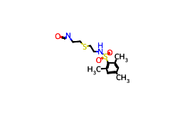 Cc1cc(C)c(S(=O)(=O)NCCSCCN=C=O)c(C)c1